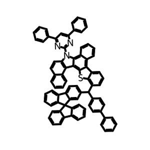 c1ccc(-c2ccc(C(c3ccc4c(c3)C3(c5ccccc5-c5ccccc53)c3ccccc3-4)c3cccc4c3sc3c4c4ccccc4c4c3c3c5ccccc5ccc3n4-c3nc(-c4ccccc4)cc(-c4ccccc4)n3)cc2)cc1